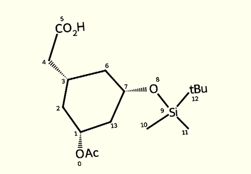 CC(=O)O[C@@H]1C[C@H](CC(=O)O)C[C@H](O[Si](C)(C)C(C)(C)C)C1